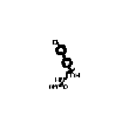 CCCC(=O)NCCC(C)(O)c1ccc(-c2ccc(Cl)cc2)cc1